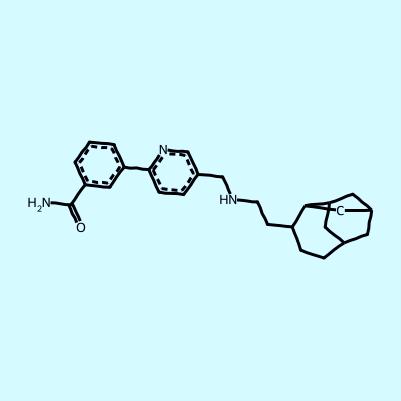 NC(=O)c1cccc(-c2ccc(CNCCC3CCC4CC5CC(C4)C3C5)cn2)c1